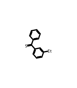 CCc1cccc(C(=S)c2ccccc2)c1